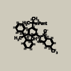 CCCCCC(C)(C)c1cc(-n2nc3cc(C(F)(F)F)ccc3[n+]2[O-])c(O)c(C(C)(c2ccccc2)c2ccccc2)c1